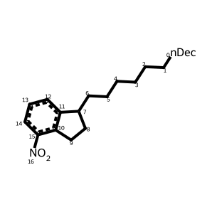 CCCCCCCCCCCCCCCCC1CCc2c1cccc2[N+](=O)[O-]